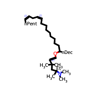 CCCCC/C=C\C/C=C\CCCCCCCCC(CCCCCCCCCC)O/C=C/C(C)(C)CC(C)(CC)N(C)C